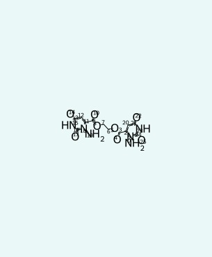 Nn1c(C(=O)OCCOC(=O)c2cc(=O)[nH]c(=O)n2N)cc(=O)[nH]c1=O